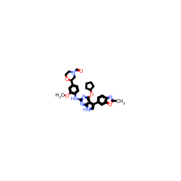 COc1cc(C2CN(C=O)CCO2)ccc1Nc1nc(OC2CCCC2)c2c(-c3ccc4nc(C)oc4c3)c[nH]c2n1